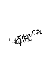 C[C@@]1(O)[C@@H](COc2ccc3cn[nH]c3c2)O[C@@H](n2ccc3c2NCNC3N)[C@@H]1O